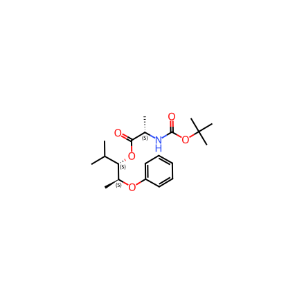 CC(C)[C@H](OC(=O)[C@H](C)NC(=O)OC(C)(C)C)[C@H](C)Oc1ccccc1